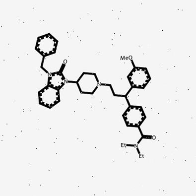 CCN(CC)C(=O)c1ccc(C(CCN2CCC(n3c(=O)n(Cc4ccccc4)c4ccccc43)CC2)c2cccc(OC)c2)cc1